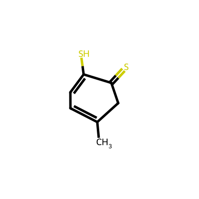 CC1=CC=C(S)C(=S)C1